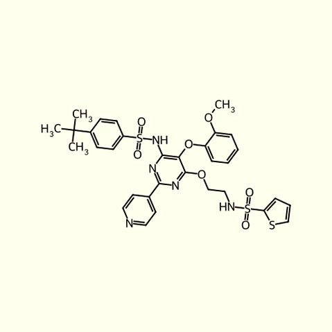 COc1ccccc1Oc1c(NS(=O)(=O)c2ccc(C(C)(C)C)cc2)nc(-c2ccncc2)nc1OCCNS(=O)(=O)c1cccs1